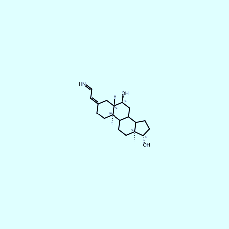 C[C@]12CCC3C(C[C@H](O)[C@H]4CC(=CC=N)CC[C@]34C)C1CC[C@@H]2O